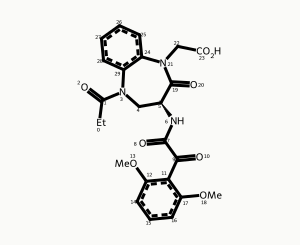 CCC(=O)N1C[C@H](NC(=O)C(=O)c2c(OC)cccc2OC)C(=O)N(CC(=O)O)c2ccccc21